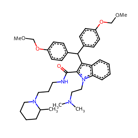 COCOc1ccc(C(c2ccc(OCOC)cc2)c2c(C(=O)NCCCN3CCCCC3C)n(CCN(C)C)c3ccccc23)cc1